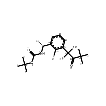 C[C@@H](NC(=O)OC(C)(C)C)c1cccc(C(F)(F)C(=O)C(C)(C)C)c1F